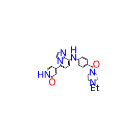 CCN1CCN(C(=O)c2ccc(Nc3ccc(-c4cc[nH]c(=O)c4)n4ccnc34)cc2)CC1